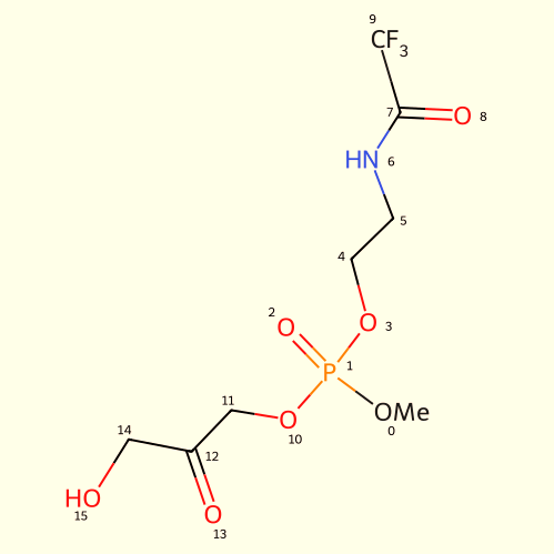 COP(=O)(OCCNC(=O)C(F)(F)F)OCC(=O)CO